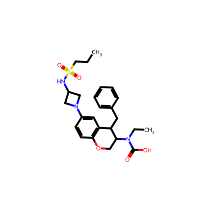 CCCS(=O)(=O)NC1CN(c2ccc3c(c2)C(Cc2ccccc2)C(N(CC)C(=O)O)CO3)C1